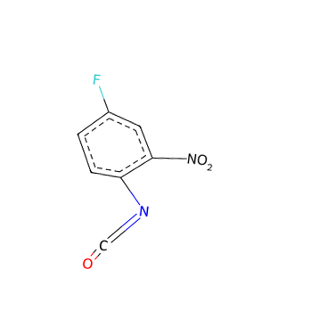 O=C=Nc1ccc(F)cc1[N+](=O)[O-]